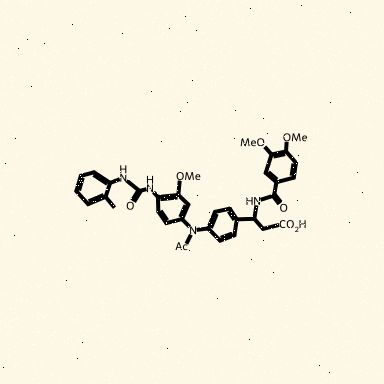 COc1cc(N(C(C)=O)c2ccc(C(CC(=O)O)NC(=O)c3ccc(OC)c(OC)c3)cc2)ccc1NC(=O)Nc1ccccc1C